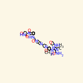 CCc1nc(C(N)=O)c(Nc2ccc(N3CCC(N4CC5CN(C(=O)CNc6cccc7c6CN(C6CCC(=O)NC6=O)C7=O)CC5C4)CC3)c(OC)c2)nc1NC1CCOCC1